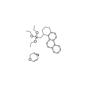 C1=COCC=N1.CCO[Si](CC1CCCc2ccc3c(ccc4ccccc43)c21)(OCC)OCC